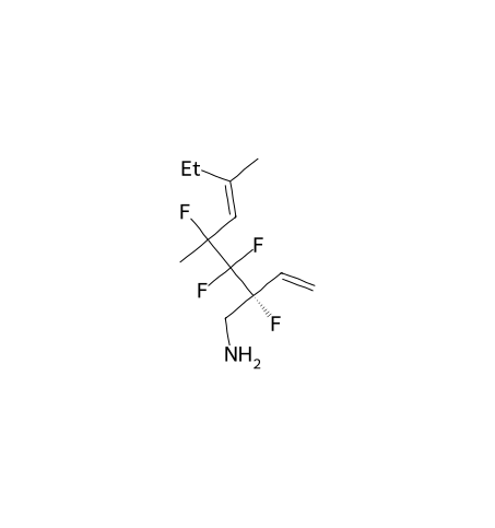 C=C[C@@](F)(CN)C(F)(F)C(C)(F)/C=C(/C)CC